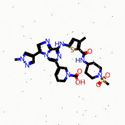 Cc1cc(Nc2nc(C3=CCCN(C(=O)O)C3)cn3c(-c4cnn(C)c4)cnc23)sc1C(=O)NC1CCN(S(C)(=O)=O)CC1